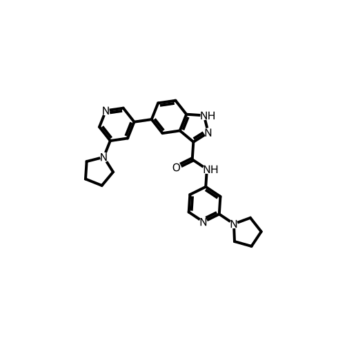 O=C(Nc1ccnc(N2CCCC2)c1)c1n[nH]c2ccc(-c3cncc(N4CCCC4)c3)cc12